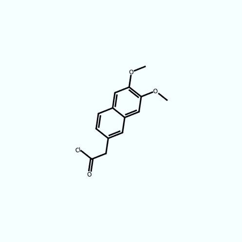 COc1cc2ccc(CC(=O)Cl)cc2cc1OC